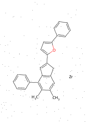 Cc1cc2c(c(-c3ccccc3)c1C)C=C(c1ccc(-c3ccccc3)o1)[CH]2.[Zr]